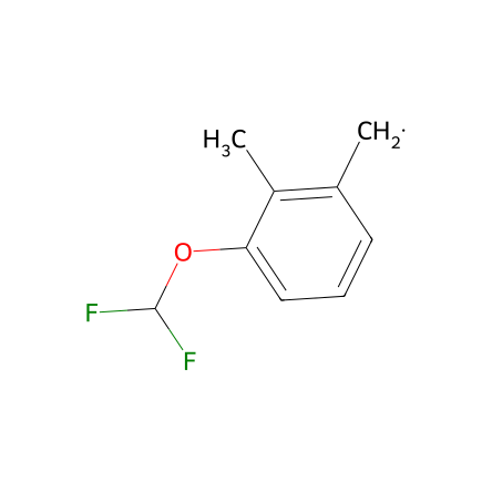 [CH2]c1cccc(OC(F)F)c1C